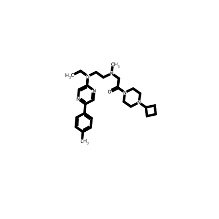 CCN(CCN(C)CC(=O)N1CCN(C2CCC2)CC1)c1cnc(-c2ccc(C)cc2)cn1